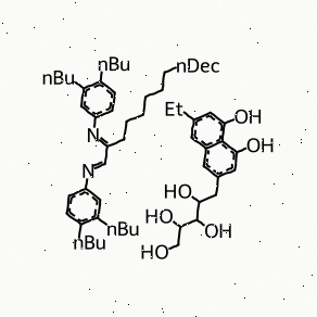 CCCCCCCCCCCCCCCCC(C=Nc1ccc(CCCC)c(CCCC)c1)=Nc1ccc(CCCC)c(CCCC)c1.CCc1cc(O)c2c(O)cc(CC(O)C(O)C(O)CO)cc2c1